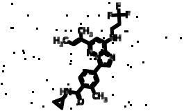 CC=C(C)c1cc(NCCC(F)(F)F)c2ncc(-c3ccc(C(=O)NC4CC4)c(C)c3)n2n1